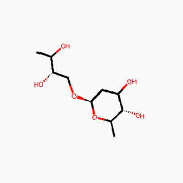 CC1O[C@@H](OC[C@H](O)C(C)O)CC(O)[C@@H]1O